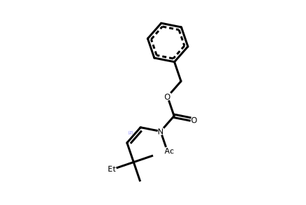 CCC(C)(C)/C=C\N(C(C)=O)C(=O)OCc1ccccc1